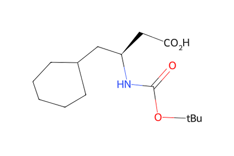 CC(C)(C)OC(=O)N[C@H](CC(=O)O)CC1CCCCC1